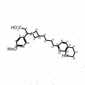 COc1ccc(C(CC(=O)O)N2CC(CCCCc3ccc4c(n3)NCCC4)C2)cn1